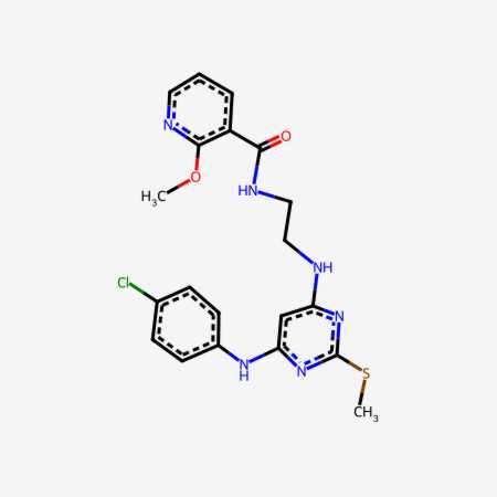 COc1ncccc1C(=O)NCCNc1cc(Nc2ccc(Cl)cc2)nc(SC)n1